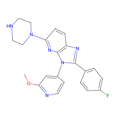 COc1cc(-n2c(-c3ccc(F)cc3)nc3ccc(N4CCNCC4)nc32)ccn1